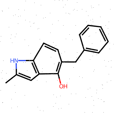 Cc1cc2c(O)c(Cc3ccccc3)ccc2[nH]1